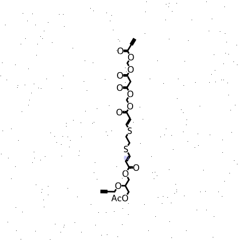 C#CCOC(COC(C)=O)COC(=O)/C=C/SCCSC=CC(=O)OCOC(=O)CC(=O)OCOC(=O)C#C